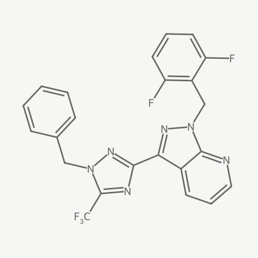 Fc1cccc(F)c1Cn1nc(-c2nc(C(F)(F)F)n(Cc3ccccc3)n2)c2cccnc21